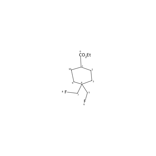 CCOC(=O)C1CCC(CF)(CF)CC1